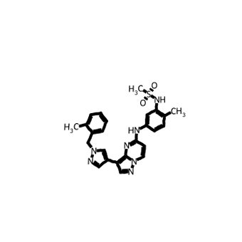 Cc1ccccc1Cn1cc(-c2cnn3ccc(Nc4ccc(C)c(NS(C)(=O)=O)c4)nc23)cn1